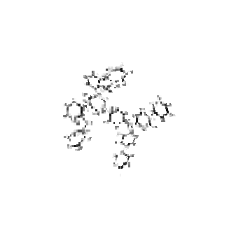 C1=CCCC(c2ccc(N(C3=CC=C(C4=CC(c5cccc6c5oc5ccccc56)=CC(c5cccc6c5CC5=C6CCC=C5)C4)CC3)c3ccc(-c4ccccc4)cc3)cc2)=C1